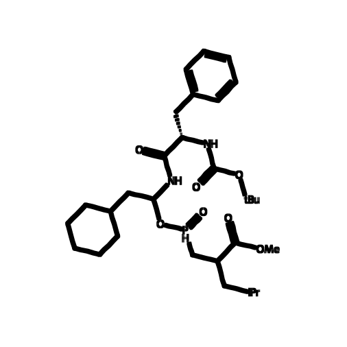 COC(=O)C(CC(C)C)C[PH](=O)OC(CC1CCCCC1)NC(=O)[C@H](Cc1ccccc1)NC(=O)OC(C)(C)C